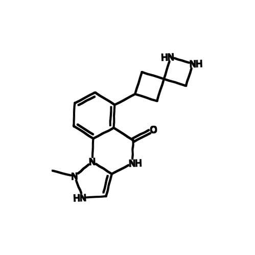 CN1NC=C2NC(=O)c3c(C4CC5(CNN5)C4)cccc3N21